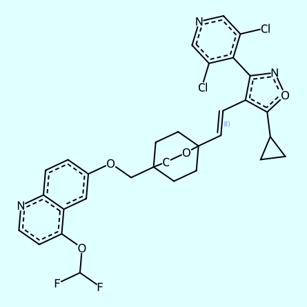 FC(F)Oc1ccnc2ccc(OCC34CCC(/C=C/c5c(-c6c(Cl)cncc6Cl)noc5C5CC5)(CC3)OC4)cc12